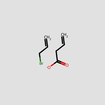 C=CCBr.C=CCC([O])=O